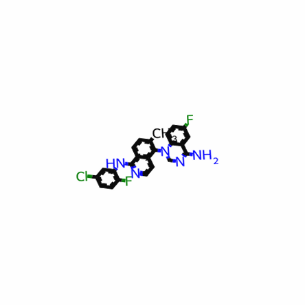 Cc1ccc2c(Nc3cc(Cl)ccc3F)nccc2c1N1CN=C(N)c2cc(F)ccc21